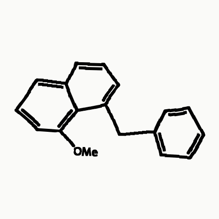 COc1cccc2cccc(Cc3ccccc3)c12